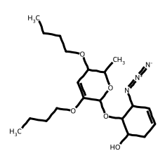 CCCCOC1=CC(OCCCC)C(C)OC1OC1C(O)CC=CC1N=[N+]=[N-]